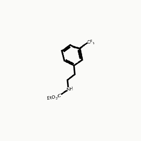 CCOC(=O)NCCc1cccc(C(F)(F)F)c1